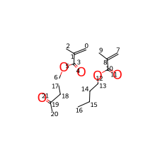 C=C(C)C(=O)OC.C=C(C)C(=O)OCCCC.CCC(C)=O